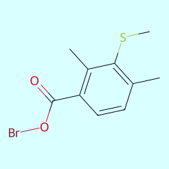 CSc1c(C)ccc(C(=O)OBr)c1C